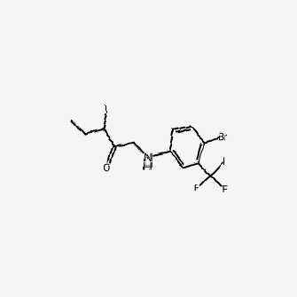 CCC(I)C(=O)CNc1ccc(Br)c(C(F)(F)I)c1